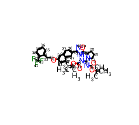 CC(C)(C)OC(=O)/N=C(/NC(=O)OC(C)(C)C)N1CCC[C@H]1c1nc(-c2ccc3cc(OCCc4ccccc4C(F)(F)F)ccc3c2)no1